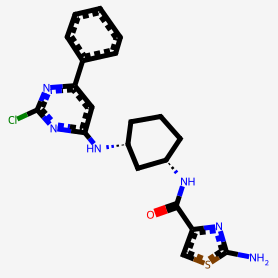 Nc1nc(C(=O)N[C@H]2CCC[C@@H](Nc3cc(-c4ccccc4)nc(Cl)n3)C2)cs1